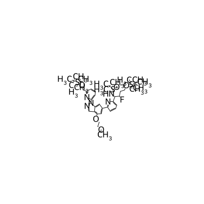 COCCOc1cc(-c2cccc([C@H](N[S+]([O-])C(C)(C)C)C(F)CCO[Si](C)(C)C(C)(C)C)n2)cc2c1cnn2-c1cccc(CO[Si](C)(C)C(C)(C)C)n1